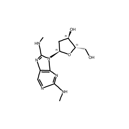 CNc1ncc2nc(NC)n([C@H]3C[C@@H](O)[C@H](CO)O3)c2n1